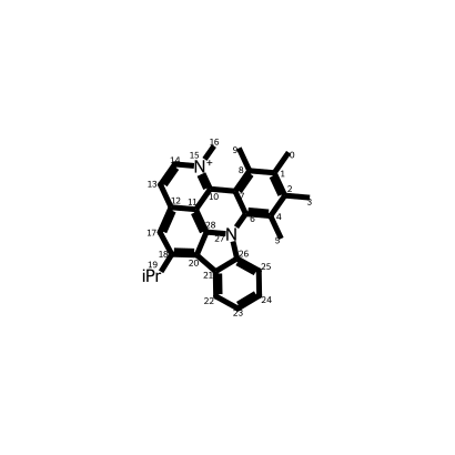 Cc1c(C)c(C)c2c(c1C)c1c3c(cc[n+]1C)cc(C(C)C)c1c4ccccc4n2c13